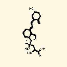 C=C1CC[C@H](O)C/C1=C/C=C1CCC[C@@]2(C)C1CC[C@@H]2[C@@](C)(O)CC(O)C(O)C(C)C